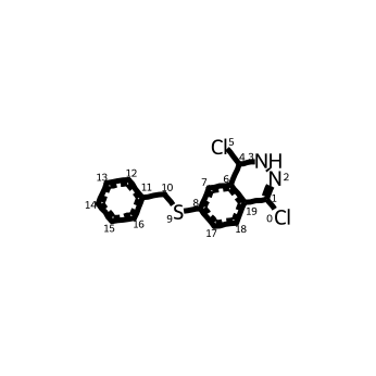 ClC1=NNC(Cl)c2cc(SCc3ccccc3)ccc21